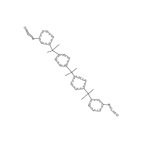 CC(C)(c1ccc(C(C)(C)c2cccc(N=C=O)c2)cc1)c1ccc(C(C)(C)c2cccc(N=C=O)c2)cc1